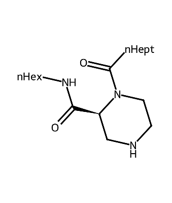 CCCCCCCC(=O)N1CCNC[C@H]1C(=O)NCCCCCC